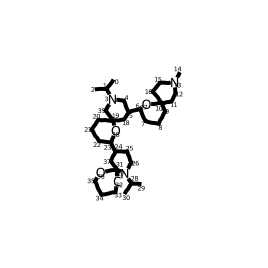 CC(C)N1CC(C2CCCC3(CCN(C)CC3)O2)CC2(CCCC(C3CCN(C(C)C)C4(CCCCO4)C3)O2)C1